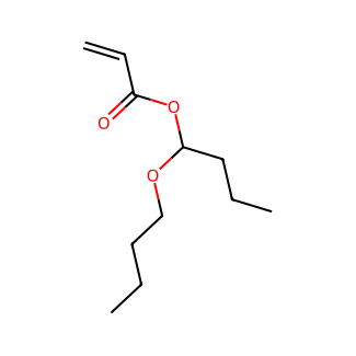 C=CC(=O)OC(CCC)OCCCC